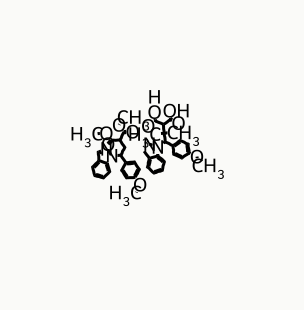 COC(=O)C(CC(c1ccc(OC)cc1)n1ncc2ccccc21)C(=O)OC.COc1ccc(C(n2ncc3ccccc32)C(C)(C)C(C(=O)O)C(=O)O)cc1